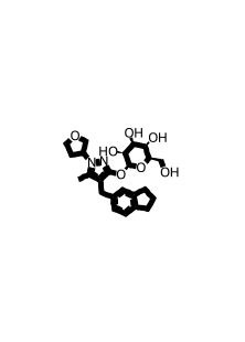 Cc1c(Cc2ccc3c(c2)CCC3)c(O[C@@H]2O[C@H](CO)[C@@H](O)[C@H](O)[C@H]2O)nn1C1CCOC1